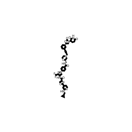 O=C1CCC(N2C[C@H](c3cccc(C#CCN4CCO[C@@H](CNC(=O)c5ccc(-n6cc(NC(=O)c7coc(-c8ccnc(NCC9CC9)c8)n7)c(C(F)F)n6)cc5)C4)c3)OC2=O)C(=O)N1